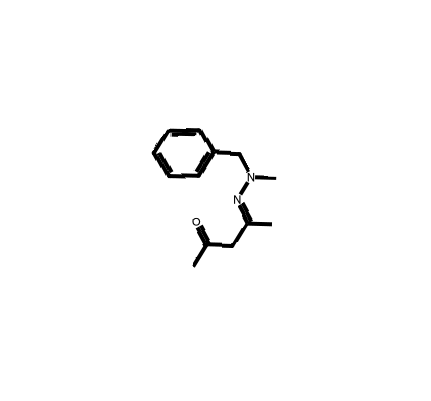 CC(=O)C/C(C)=N/N(C)Cc1ccccc1